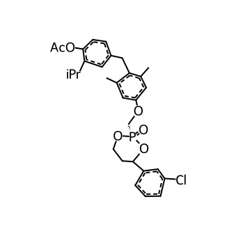 CC(=O)Oc1ccc(Cc2c(C)cc(OC[P@@]3(=O)OCCC(c4cccc(Cl)c4)O3)cc2C)cc1C(C)C